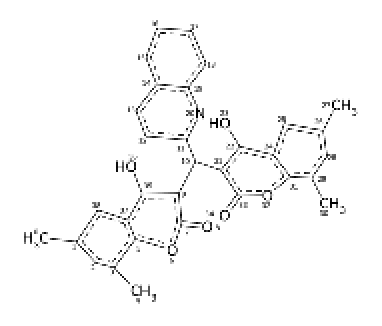 Cc1cc(C)c2oc(=O)c(C(c3ccc4ccccc4n3)c3c(O)c4cc(C)cc(C)c4oc3=O)c(O)c2c1